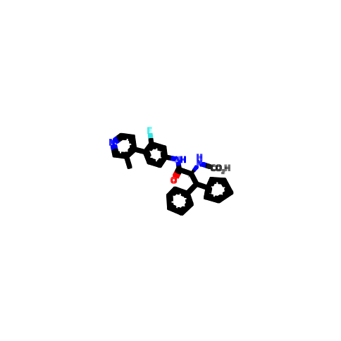 Cc1cnccc1-c1ccc(NC(=O)[C@@H](NC(=O)O)C(c2ccccc2)c2ccccc2)cc1F